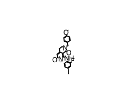 COc1ccc(CN2CCc3cc(=O)n(C)c(Nc4ccc(I)cc4F)c3C2=O)cc1